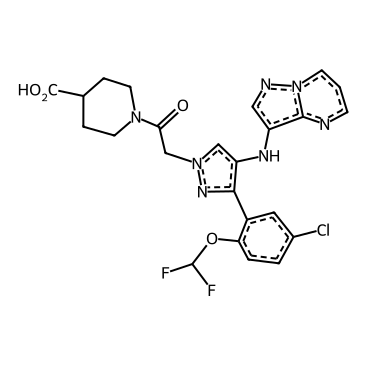 O=C(O)C1CCN(C(=O)Cn2cc(Nc3cnn4cccnc34)c(-c3cc(Cl)ccc3OC(F)F)n2)CC1